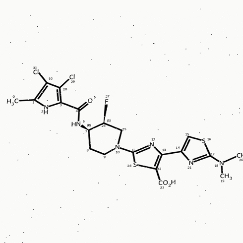 Cc1[nH]c(C(=O)N[C@@H]2CCN(c3nc(-c4csc(N(C)C)n4)c(C(=O)O)s3)C[C@@H]2F)c(Cl)c1Cl